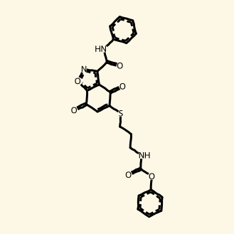 O=C(NCCCSC1=CC(=O)c2onc(C(=O)Nc3ccccc3)c2C1=O)Oc1ccccc1